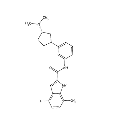 Cc1ccc(F)c2cc(C(=O)Nc3cccc(C4CC[C@H](N(C)C)C4)c3)[nH]c12